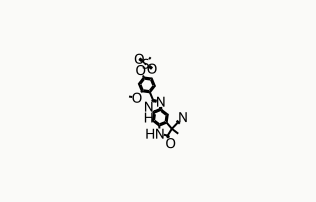 COc1cc(OS(C)(=O)=O)ccc1-c1nc2cc3c(cc2[nH]1)NC(=O)C3(C)C#N